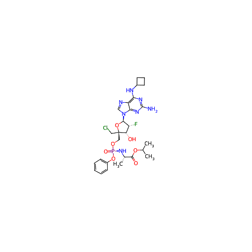 CC(C)OC(=O)[C@H](C)N[P@@](=O)(OC[C@@]1(CCl)O[C@@H](n2cnc3c(NC4CCC4)nc(N)nc32)[C@H](F)[C@@H]1O)Oc1ccccc1